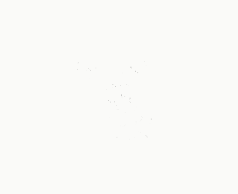 C=CC(=O)N1CCN(c2nc(CCCN(C)C)nc3c(F)c(-c4cc(O)cc5ccccc45)c(Cl)cc23)CC1